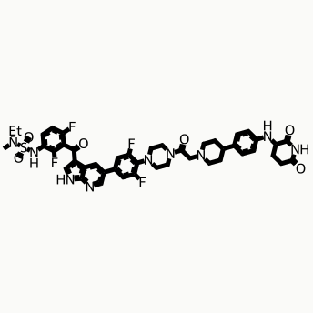 CCN(C)S(=O)(=O)Nc1ccc(F)c(C(=O)c2c[nH]c3ncc(-c4cc(F)c(N5CCN(C(=O)CN6CCC(c7ccc(NC8CCC(=O)NC8=O)cc7)CC6)CC5)c(F)c4)cc23)c1F